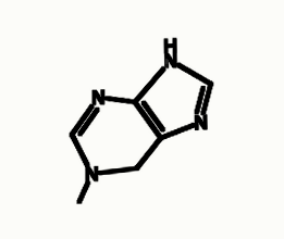 CN1C=Nc2[nH]cnc2C1